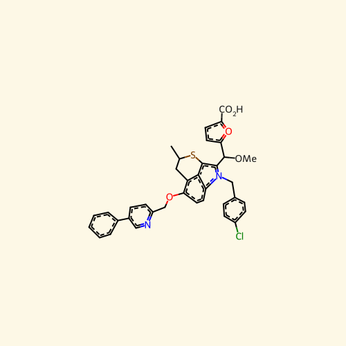 COC(c1ccc(C(=O)O)o1)c1c2c3c(c(OCc4ccc(-c5ccccc5)cn4)ccc3n1Cc1ccc(Cl)cc1)CC(C)S2